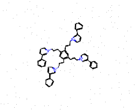 c1ccc(-c2ccc[n+](CCCc3cc(CCC[n+]4cccc(-c5ccccc5)c4)c(CCC[n+]4cccc(-c5ccccc5)c4)cc3CCC[n+]3cccc(-c4ccccc4)c3)c2)cc1